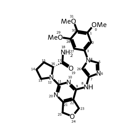 COc1cc(-n2cnc(Nc3nc(N4CCC[C@@H]4C(N)=O)nc4c3COC4)c2)cc(OC)c1OC